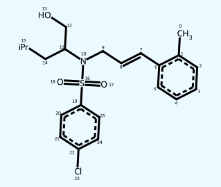 Cc1ccccc1/C=C/CN(C(CO)CC(C)C)S(=O)(=O)c1ccc(Cl)cc1